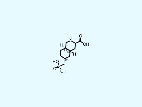 O=C(O)C1C[C@@H]2C[C@H](CP(=O)(O)O)CC[C@H]2CN1